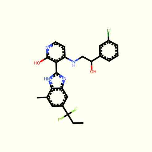 CCC(F)(F)c1cc(C)c2[nH]c(-c3c(NCC(O)c4cccc(Cl)c4)ccnc3O)nc2c1